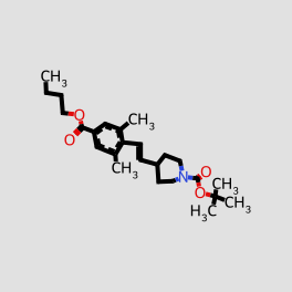 CCCCOC(=O)c1cc(C)c(C=CC2CCN(C(=O)OC(C)(C)C)CC2)c(C)c1